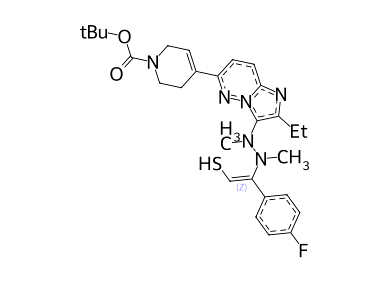 CCc1nc2ccc(C3=CCN(C(=O)OC(C)(C)C)CC3)nn2c1N(C)N(C)/C(=C\S)c1ccc(F)cc1